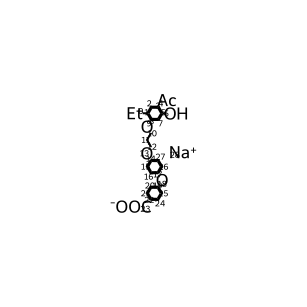 CCc1cc(C(C)=O)c(O)cc1OCCCOc1ccc(Oc2ccc(C(=O)[O-])cc2)cc1.[Na+]